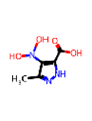 Cc1n[nH]c(C(=O)O)c1N(O)O